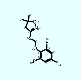 CC1(C)CC(SCOc2c(F)cc(F)cc2F)=NO1